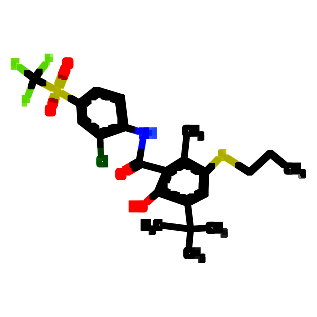 CCCSc1cc(C(C)(C)C)c(O)c(C(=O)Nc2ccc(S(=O)(=O)C(F)(F)F)cc2Cl)c1C